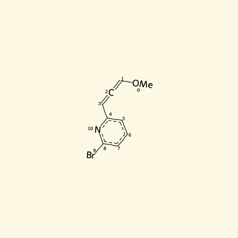 COC=C=Cc1cccc(Br)n1